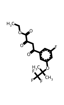 CCOC(=O)C(=O)CC(=O)c1cc(F)cc(OC(C)(C)C(F)(F)F)c1